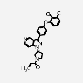 C=CC(=O)N1CC[C@@H](n2nc(-c3ccc(Oc4cccc(Cl)c4Cl)cc3)c3cnccc32)C1